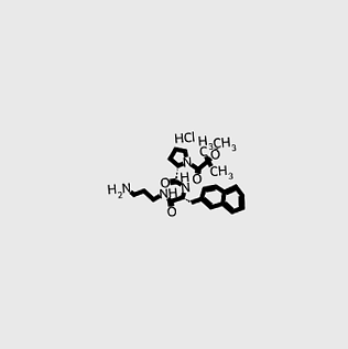 COC(C)(C)C(=O)N1CCC[C@H]1C(=O)N[C@H](Cc1ccc2ccccc2c1)C(=O)NCCCN.Cl